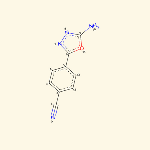 N#Cc1ccc(-c2nnc(N)o2)cc1